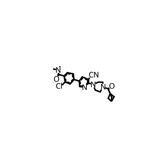 CN(C)C(=O)c1ccc(-c2cnc(N3CCN(C(=O)C45CC(C4)C5)CC3)c(C#N)c2)cc1Cl